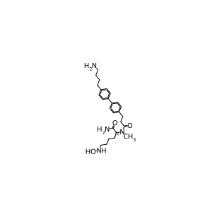 CN(C(=O)CCc1ccc(-c2ccc(CCCCN)cc2)cc1)[C@@H](CCCCNO)C(N)=O